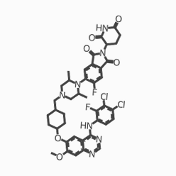 COc1cc2ncnc(Nc3ccc(Cl)c(Cl)c3F)c2cc1OC1CCC(CN2CC(C)N(c3cc4c(cc3F)C(=O)N(C3CCC(=O)NC3=O)C4=O)C(C)C2)CC1